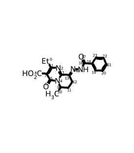 CCc1nc2n(c(=O)c1C(=O)O)C(C)CCC2=NNC(=O)c1ccccc1